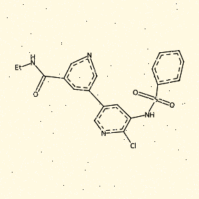 CCNC(=O)c1cncc(-c2cnc(Cl)c(NS(=O)(=O)c3ccccc3)c2)c1